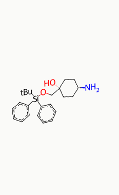 CC(C)(C)[Si](OC[C@]1(O)CC[C@H](N)CC1)(c1ccccc1)c1ccccc1